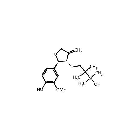 C=C1CO[C@H](c2ccc(O)c(OC)c2)[C@H]1CCC(C)(C)[Si](C)(C)O